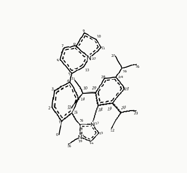 Cc1ccc(-c2ccc3cccn3c2)cc1-c1n(-c2c(C(C)C)cc(C(C)C)cc2C(C)C)cc[n+]1C